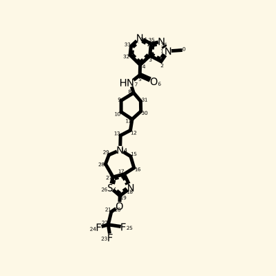 Cn1cc2c(C(=O)NC3CCC(CCN4CCc5nc(OCC(F)(F)F)sc5CC4)CC3)ccnc2n1